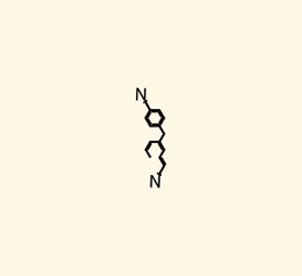 C\C=C/C(=C\C=C\C#N)Cc1ccc(C#N)cc1